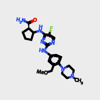 COCc1cc(Nc2ncc(F)c(NC3CCC[C@@H]3C(N)=O)n2)ccc1N1CCN(C)CC1